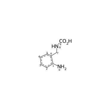 Nc1ccccc1CNC(=O)O